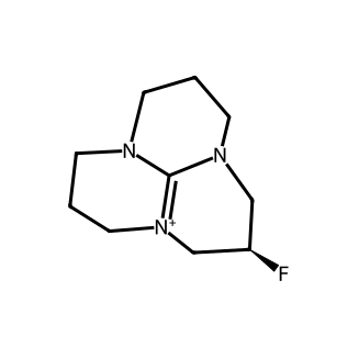 F[C@@H]1CN2CCCN3CCC[N+](=C32)C1